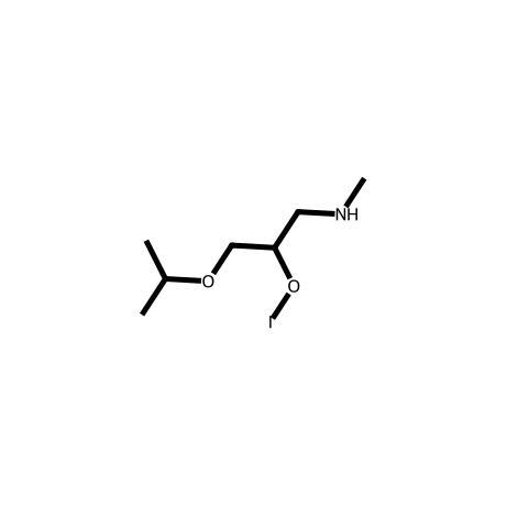 CNCC(COC(C)C)OI